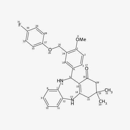 COc1ccc(C2Nc3ccccc3NC3=C2C(=O)CC(C)(C)C3)cc1COc1ccc(F)cc1